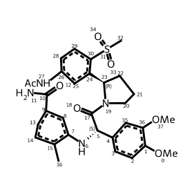 COc1ccc([C@H](Nc2cc(C(N)=O)ccc2C)C(=O)N2CCC[C@@H]2c2cc(NC(C)=O)ccc2S(C)(=O)=O)cc1OC